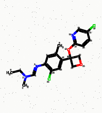 CCN(C)/C=N/c1cc(C)c(C2(Oc3ccc(Cl)cn3)COC2)cc1Cl